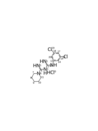 Cl.N=C(NC(=N)N1CCCCC1)Nc1cc(Cl)cc(Cl)c1